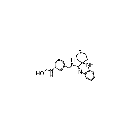 OCNc1cccc(CNC2=Nc3ccccc3NC23CCSCC3)c1